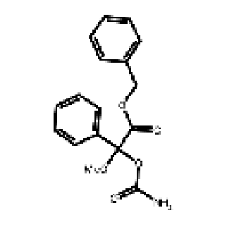 COC(OC(N)=O)(C(=O)OCc1ccccc1)c1ccccc1